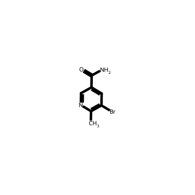 Cc1ncc(C(N)=O)cc1Br